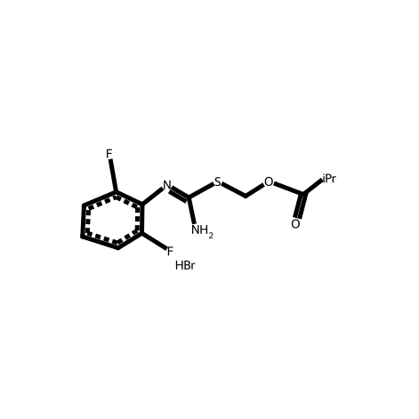 Br.CC(C)C(=O)OCS/C(N)=N/c1c(F)cccc1F